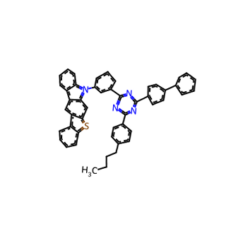 CCCCc1ccc(-c2nc(-c3ccc(-c4ccccc4)cc3)nc(-c3cccc(-n4c5ccccc5c5cc6c(cc54)sc4ccccc46)c3)n2)cc1